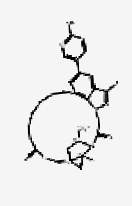 CC(=O)c1nn2c3c(cc(-c4cnc(C)nc4)cc13)CCCCCCC(=O)NC[C@@]13C[C@@H](C(=O)O)N(C(=O)C2)[C@@H]1C3